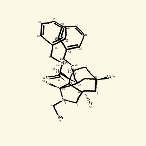 CC(C)CN1C[C@@H]2C[C@H]3CN[C@]2(C(=O)NCc2ccccc2)[C@@H]1[C@@H]3CCc1ccccc1